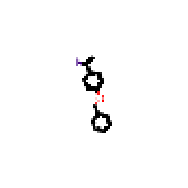 C=C(I)c1ccc(OCc2ccccc2)cc1